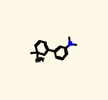 CCCC1(C)C=CC=C(c2cccc(N(C)C)c2)C1